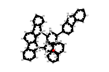 c1ccc(-c2nc(-c3ccc4c(c3)oc3ccccc34)nc(-n3c4ccccc4c4ccc5c6ccccc6n(-c6nc7ccccc7o6)c5c43)n2)cc1